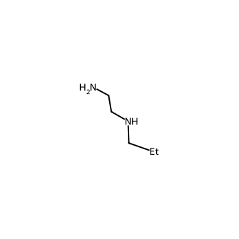 [CH2]CCNCCN